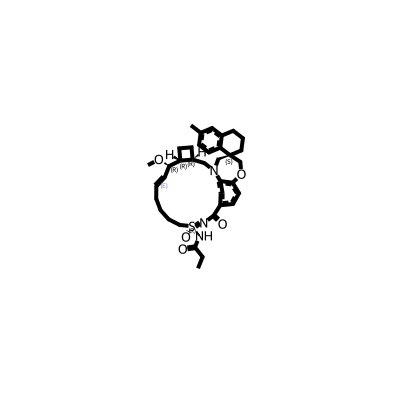 CCC(=O)N[S@@]1(=O)=NC(=O)c2ccc3c(c2)N(C[C@@H]2CC[C@H]2[C@@H](OC)/C=C/CCCC1)C[C@@]1(CCCc2cc(C)ccc21)CO3